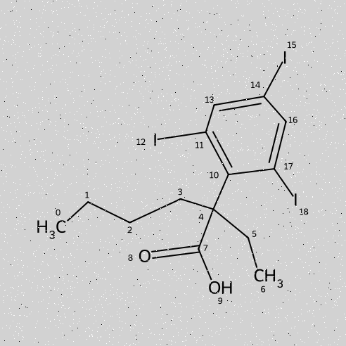 CCCCC(CC)(C(=O)O)c1c(I)cc(I)cc1I